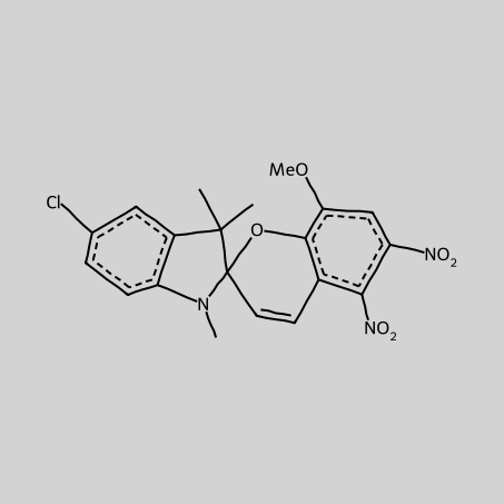 COc1cc([N+](=O)[O-])c([N+](=O)[O-])c2c1OC1(C=C2)N(C)c2ccc(Cl)cc2C1(C)C